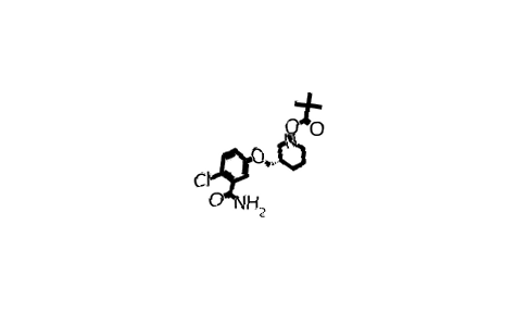 CC(C)(C)C(=O)ON1CCC[C@H](COc2ccc(Cl)c(C(N)=O)c2)C1